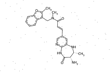 Cc1oc2ccccc2c1CN(C)C(=O)/C=C/c1cnc2c(c1)N[C@H](C)[C@H](N)C(=O)N2